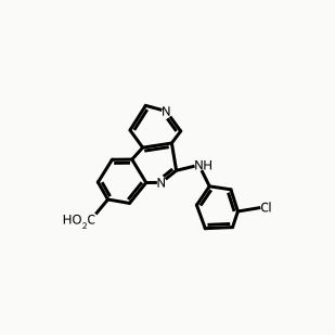 O=C(O)c1ccc2c(c1)nc(Nc1cccc(Cl)c1)c1cnccc12